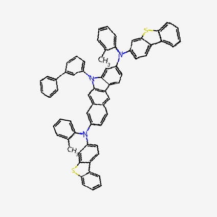 Cc1ccccc1N(c1ccc2cc3c4ccc(N(c5ccc6c(c5)sc5ccccc56)c5ccccc5C)cc4n(-c4cccc(-c5ccccc5)c4)c3cc2c1)c1ccc2c(c1)sc1ccccc12